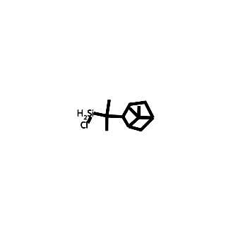 CC(C)([SiH2]Cl)C1CCC2CC1C2(C)C